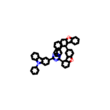 c1ccc(-c2nc(-c3ccc4c(c3)c3ccccc3n4-c3ccccc3)nc(-c3cccc4oc5ccc(-c6c(-c7ccccc7)ccc7oc8ccccc8c67)cc5c34)n2)cc1